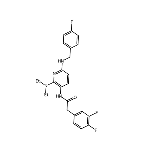 CCN(CC)c1nc(NCc2ccc(F)cc2)ccc1NC(=O)Cc1ccc(F)c(F)c1